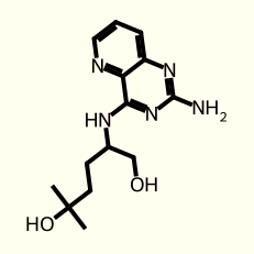 CC(C)(O)CCC(CO)Nc1nc(N)nc2cccnc12